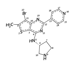 Cc1sc2c(N[C@@H]3CCNC3)nc(-c3ccncc3)nc2c1Br